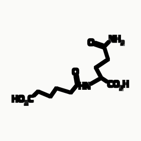 NC(=O)CCC(NC(=O)CCCCC(=O)O)C(=O)O